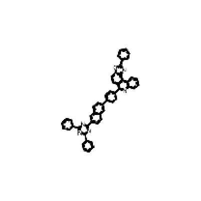 c1ccc(-c2nc(-c3ccccc3)nc(-c3ccc4cc(-c5ccc(-c6nc7ccccc7c7c6ccc6oc(-c8ccccc8)nc67)cc5)ccc4c3)n2)cc1